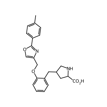 Cc1ccc(-c2nc(COc3ccccc3CC3CNC(C(=O)O)C3)co2)cc1